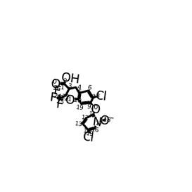 O=C(O)C1Cc2cc(Cl)c(Oc3ccc(Cl)c[n+]3[O-])cc2OC1C(F)(F)F